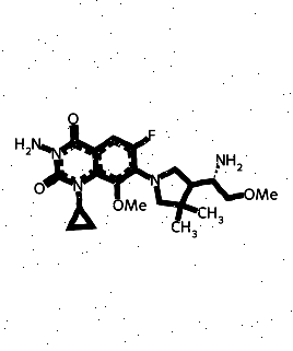 COC[C@@H](N)C1CN(c2c(F)cc3c(=O)n(N)c(=O)n(C4CC4)c3c2OC)CC1(C)C